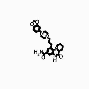 NC(=O)c1cc(CCCN2CCN(c3ccc4c(c3)OCO4)CC2)c2c(c1)NC(=O)C1CCCCN21